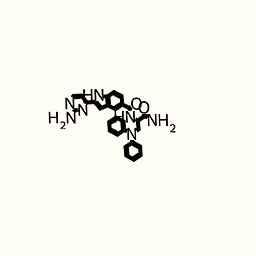 NC(=O)C(CN(c1ccccc1)c1ccccc1)NC(=O)c1ccc2[nH]c(-c3ccnc(N)n3)cc2c1